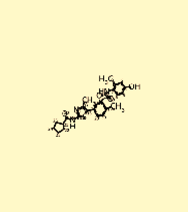 Cc1cc(O)ccc1NS(=O)(=O)c1cc(-c2sc(NC(=O)C3CCCC3)nc2C)ccc1C